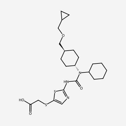 O=C(O)CSc1cnc(NC(=O)N(C2CCCCC2)[C@H]2CC[C@H](COCC3CC3)CC2)s1